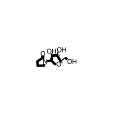 O=C1CCCN1C1CO[C@H](CO)[C@H](O)[C@@H]1O